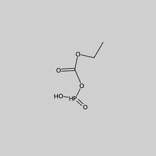 CCOC(=O)O[PH](=O)O